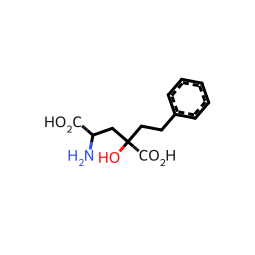 NC(CC(O)(CCc1ccccc1)C(=O)O)C(=O)O